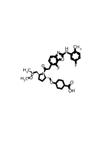 CON(C)C[C@@H]1CC[C@@H](COC2CCC(C(=O)O)CC2)N1C(=O)Cc1ccc2nc(Nc3cc(F)ccc3C)oc2c1F